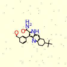 CC(C)(C)C1CCc2nc3c(C4=CC(C=O)CC=C4)c(C(N)=O)[nH]c3cc2C1